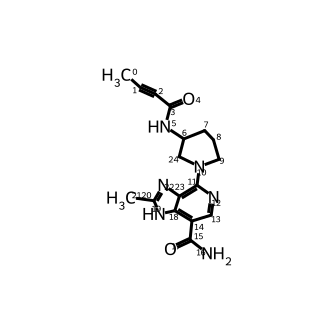 CC#CC(=O)NC1CCCN(c2ncc(C(N)=O)c3[nH]c(C)nc23)C1